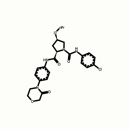 CCCO[C@@H]1C[C@H](C(=O)Nc2ccc(N3CCOCC3=O)cc2)N(C(=O)Nc2ccc(Cl)cc2)C1